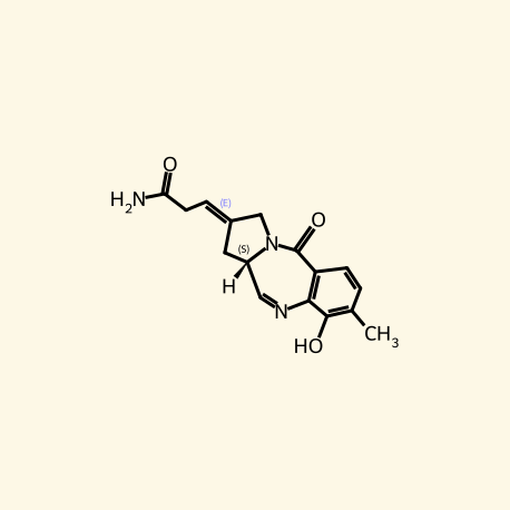 Cc1ccc2c(c1O)N=C[C@@H]1C/C(=C\CC(N)=O)CN1C2=O